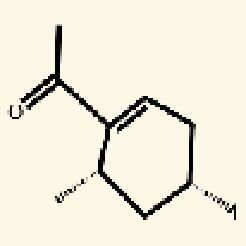 CC(=O)C1=CC[C@H](I)C[C@@H]1C